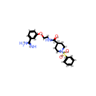 N=C(N)c1cccc(OCCNC(=O)C2CCN(S(=O)(=O)c3ccccc3)CC2)c1